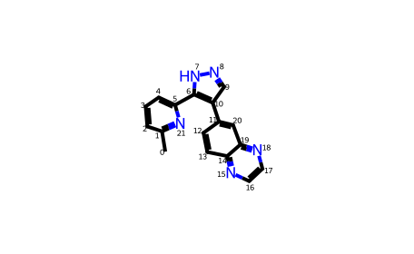 Cc1cccc(-c2[nH]ncc2-c2ccc3nccnc3c2)n1